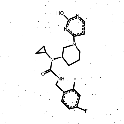 O=C(NCc1ccc(F)cc1F)N(C1CC1)[C@@H]1CCCN(c2ccnc(O)n2)C1